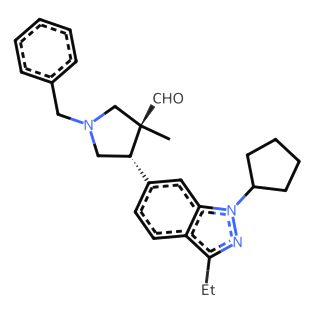 CCc1nn(C2CCCC2)c2cc([C@@H]3CN(Cc4ccccc4)C[C@@]3(C)C=O)ccc12